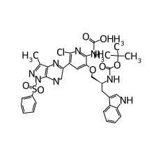 Cc1nn(S(=O)(=O)c2ccccc2)c2ncc(-c3cc(OC[C@H](Cc4c[nH]c5ccccc45)NC(=O)OC(C)(C)C)c(NC(=O)O)nc3Cl)nc12